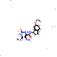 C=C1NC(=O)NC(C(=O)NC2CCc3ccc(OC)cc32)=C1N